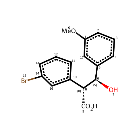 COc1cccc([C@@H](O)[C@H](C(=O)O)c2cccc(Br)c2)c1